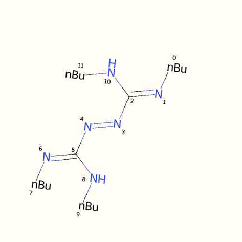 CCCCN=C(N=NC(=NCCCC)NCCCC)NCCCC